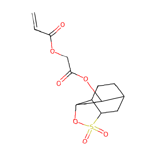 C=CC(=O)OCC(=O)OC1C2CCC3C1OS(=O)(=O)C3C2